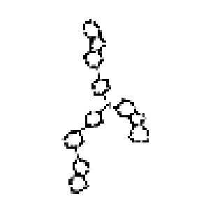 c1cc(-c2ccc(N(c3ccc(-c4ccc5c(c4)oc4ccccc45)cc3)c3ccc4sc5ccccc5c4c3)cc2)cc(-c2ccc3ccccc3c2)c1